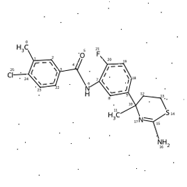 Cc1cc(C(=O)Nc2cc(C3(C)CCSC(N)=N3)ccc2F)ccc1Cl